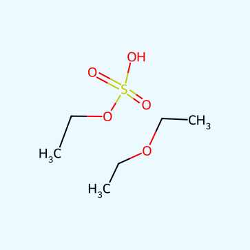 CCOCC.CCOS(=O)(=O)O